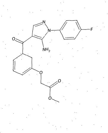 COC(=O)COC1=CC=CC(C(=O)c2cnn(-c3ccc(F)cc3)c2N)C1